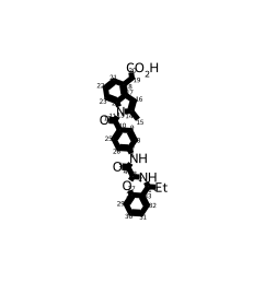 CCC1NC(C(=O)Nc2ccc(C(=O)n3c(C)cc4c(CC(=O)O)cccc43)cc2)Oc2ccccc21